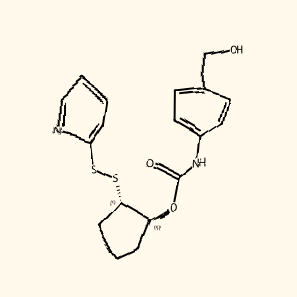 O=C(Nc1ccc(CO)cc1)O[C@H]1CCC[C@@H]1SSc1ccccn1